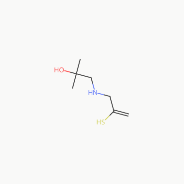 C=C(S)CNCC(C)(C)O